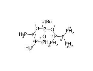 CC(C)(C)P(=O)(OP(P)P(P)P)OP(P)P(P)P